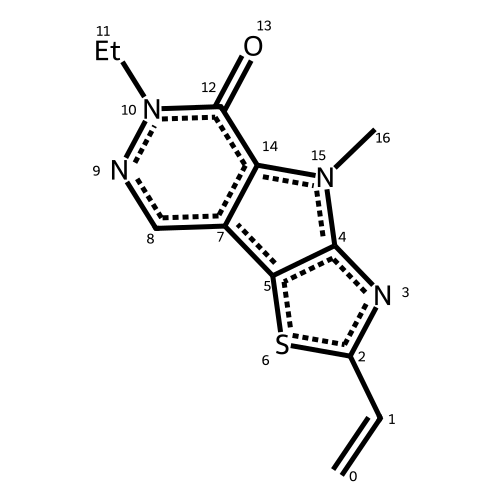 C=Cc1nc2c(s1)c1cnn(CC)c(=O)c1n2C